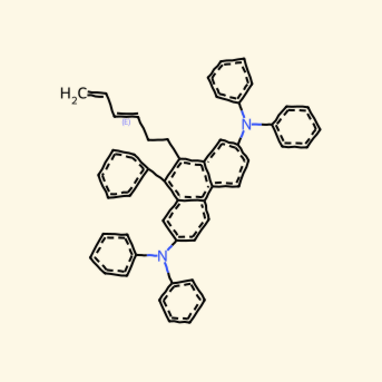 C=C/C=C/CCc1c(-c2ccccc2)c2cc(N(c3ccccc3)c3ccccc3)ccc2c2ccc(N(c3ccccc3)c3ccccc3)cc12